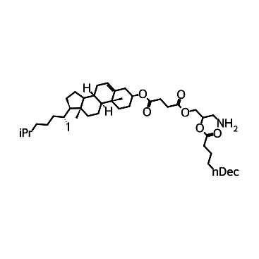 CCCCCCCCCCCCCC(=O)OC(CN)COC(=O)CCC(=O)O[C@H]1CC[C@@]2(C)C(=CC[C@H]3C4CC[C@H]([C@H](I)CCCC(C)C)[C@@]4(C)CC[C@@H]32)C1